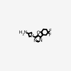 NC1CN(c2ncnc3c4c(oc23)CCC(F)(F)C4)C1